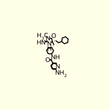 CN1C(=N)N[C@](CCC2CCCCC2)(C[C@H]2CCCC(NC(=O)c3ccc(N)nc3)C2)C1=O